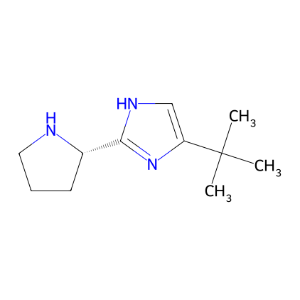 CC(C)(C)c1c[nH]c([C@@H]2CCCN2)n1